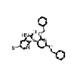 O=c1[nH]c2cc(Br)cnc2n1-c1ccc(OCc2ccccc2)nc1OCc1ccccc1